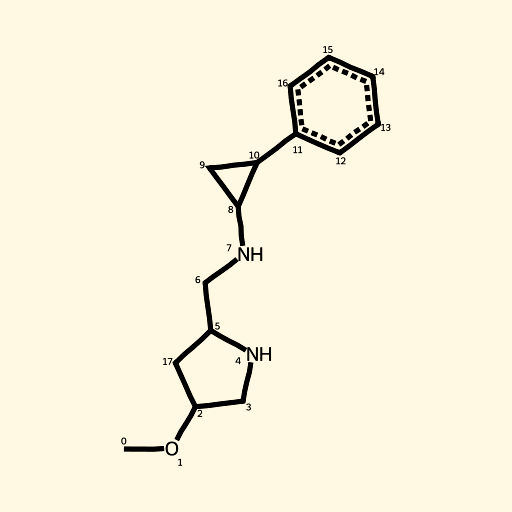 COC1CNC(CNC2CC2c2ccccc2)C1